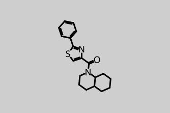 O=C(c1csc(-c2ccccc2)n1)N1CCCC2CCCCC21